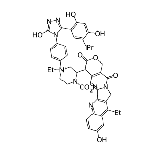 CCc1c2c(nc3ccc(O)cc13)-c1cc3c(c(=O)n1C2)COC(=O)C3C1C[N+](CC)(c2ccc(-n3c(O)nnc3-c3cc(C(C)C)c(O)cc3O)cc2)CCN1C(=O)O